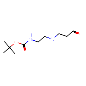 CC(C)(C)OC(=O)NCCNCCC=O